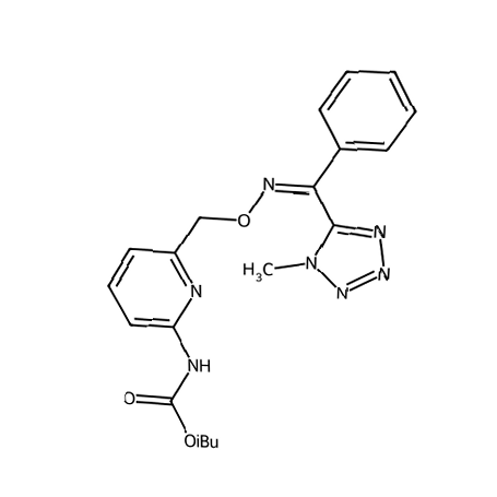 CC(C)COC(=O)Nc1cccc(CON=C(c2ccccc2)c2nnnn2C)n1